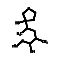 CCCCOC(O)C(C)CC(C)C1(O)CCOC1